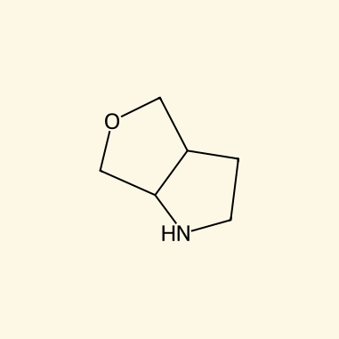 C1CC2COCC2N1